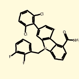 NC(=O)c1cccc2c1c1[c]cc(-c3c(Cl)cccc3Cl)cc1n2Cc1cccc(F)c1F